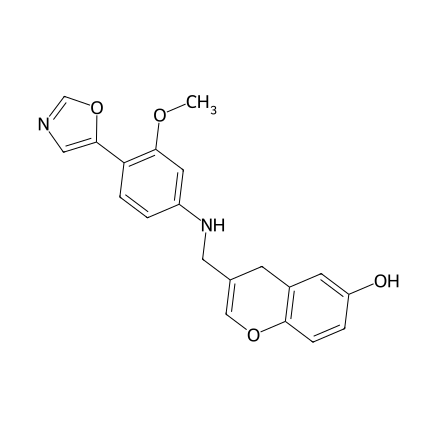 COc1cc(NCC2=COc3ccc(O)cc3C2)ccc1-c1cnco1